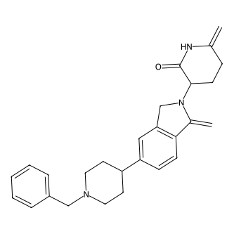 C=C1CCC(N2Cc3cc(C4CCN(Cc5ccccc5)CC4)ccc3C2=C)C(=O)N1